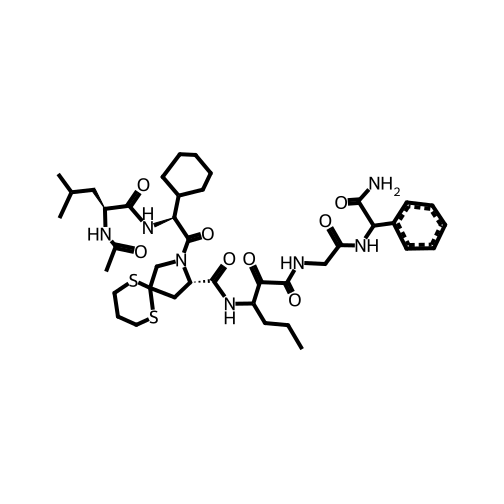 CCCC(NC(=O)[C@@H]1CC2(CN1C(=O)[C@@H](NC(=O)[C@H](CC(C)C)NC(C)=O)C1CCCCC1)SCCCS2)C(=O)C(=O)NCC(=O)NC(C(N)=O)c1ccccc1